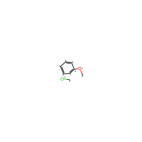 CCl.COc1ccccc1